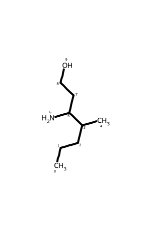 CCCC(C)C(N)CCO